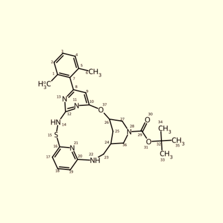 Cc1cccc(C)c1-c1cc2nc(n1)NSc1cccc(n1)NCC1CC(CN(C(=O)OC(C)(C)C)C1)O2